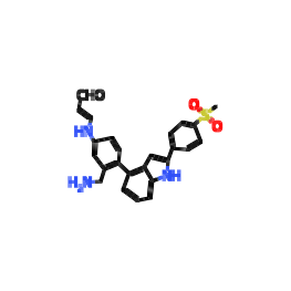 CS(=O)(=O)c1ccc(-c2cc3c(-c4ccc(NC=CC=O)cc4CN)cccc3[nH]2)cc1